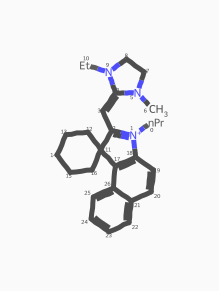 CCC[N+]1=C(/C=C2\N(C)CCN2CC)C2(CCCCC2)c2c1ccc1ccccc21